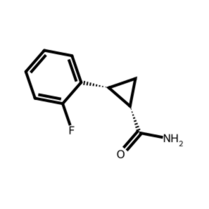 NC(=O)[C@H]1C[C@H]1c1ccccc1F